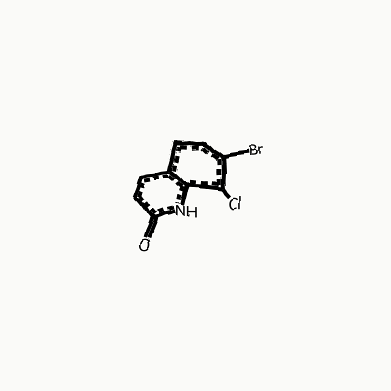 O=c1ccc2ccc(Br)c(Cl)c2[nH]1